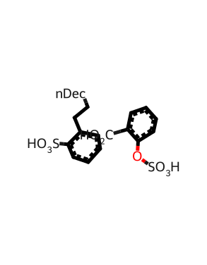 CCCCCCCCCCCCc1ccccc1S(=O)(=O)O.O=C(O)c1ccccc1OS(=O)(=O)O